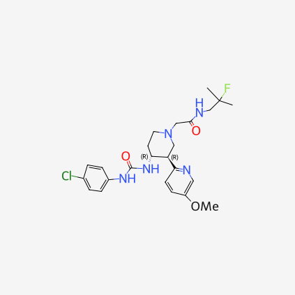 COc1ccc([C@@H]2CN(CC(=O)NCC(C)(C)F)CC[C@H]2NC(=O)Nc2ccc(Cl)cc2)nc1